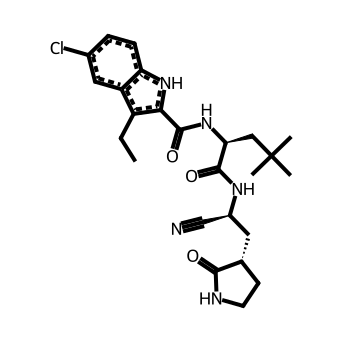 CCc1c(C(=O)N[C@@H](CC(C)(C)C)C(=O)N[C@H](C#N)C[C@@H]2CCNC2=O)[nH]c2ccc(Cl)cc12